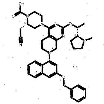 CC(Oc1nc2c(c(N3CCN(C(=O)O)[C@@H](CC#N)C3)n1)CCN(c1cc(OCc3ccccc3)cc3ccccc13)C2)[C@H]1CCCN1C